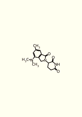 Cc1cc2c(c(N(C)C)c1)CN(C1CCC(=O)NC1=O)C2=O